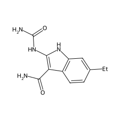 CCc1ccc2c(C(N)=O)c(NC(N)=O)[nH]c2c1